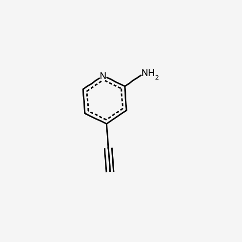 C#Cc1ccnc(N)c1